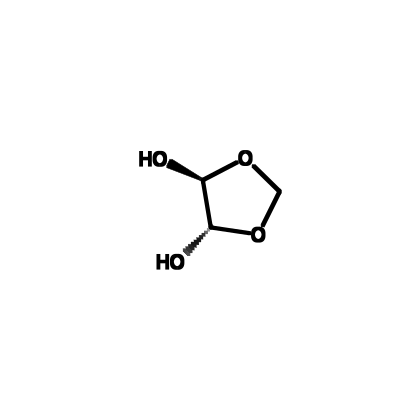 O[C@H]1OCO[C@@H]1O